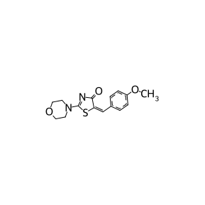 COc1ccc(C=C2SC(N3CCOCC3)=NC2=O)cc1